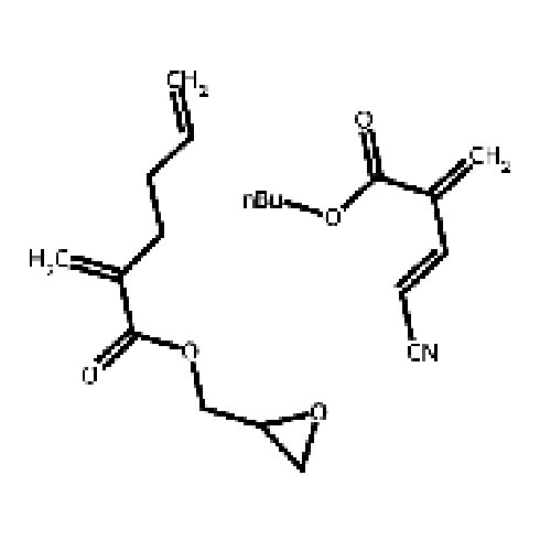 C=C(C=CC#N)C(=O)OCCCC.C=CCCC(=C)C(=O)OCC1CO1